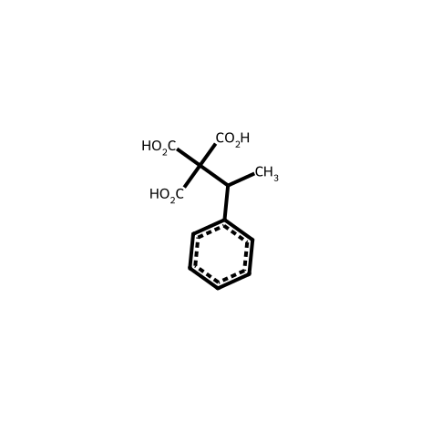 CC(c1ccccc1)C(C(=O)O)(C(=O)O)C(=O)O